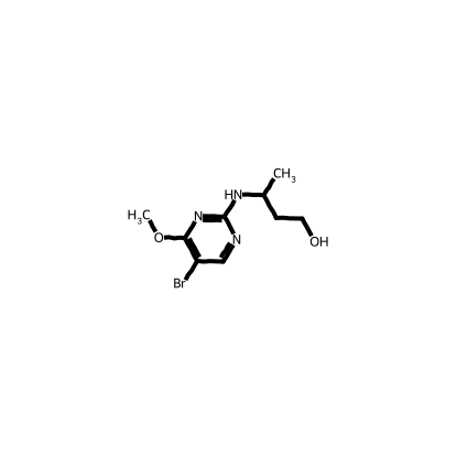 COc1nc(NC(C)CCO)ncc1Br